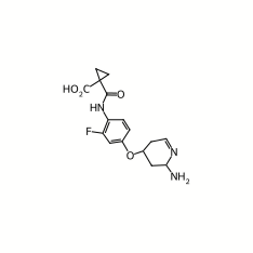 NC1CC(Oc2ccc(NC(=O)C3(C(=O)O)CC3)c(F)c2)CC=N1